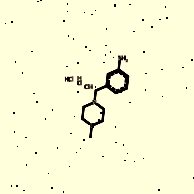 CN1CCN(Cc2cccc(N)c2)CC1.Cl.Cl.Cl